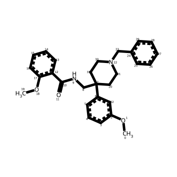 COc1cccc(C2(CNC(=O)c3ccccc3OC)CCN(Cc3ccccc3)CC2)c1